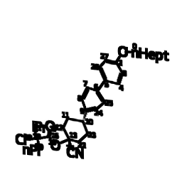 CCCCCCCOc1ccc(-c2ccc([C@H]3CC[C@@](C#N)(OC(=O)[C@@](Cl)(CCC)C(C)C)CC3)cc2)cc1